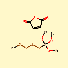 CCCSSSS[Si](OCC)(OCC)OCC.O=C1C=CC(=O)O1